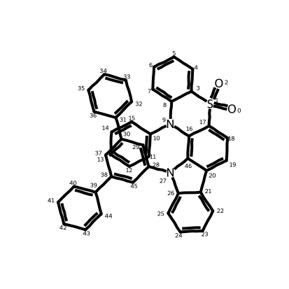 O=S1(=O)c2ccccc2N(c2ccccc2)c2c1ccc1c3ccccc3n(-c3cc(-c4ccccc4)cc(-c4ccccc4)c3)c21